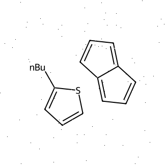 C1=CC2=CC=CC2=C1.CCCCc1cccs1